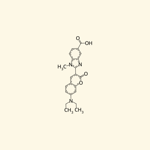 CCN(CC)c1ccc2cc(-c3nc4cc(C(=O)O)ccc4n3C)c(=O)oc2c1